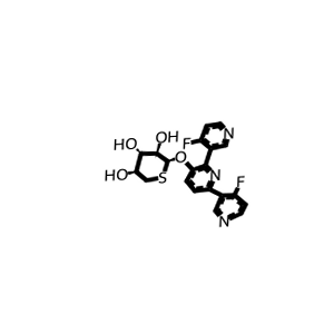 O[C@@H]1[C@@H](O)[C@@H](Oc2ccc(-c3cnccc3F)nc2-c2cnccc2F)SC[C@H]1O